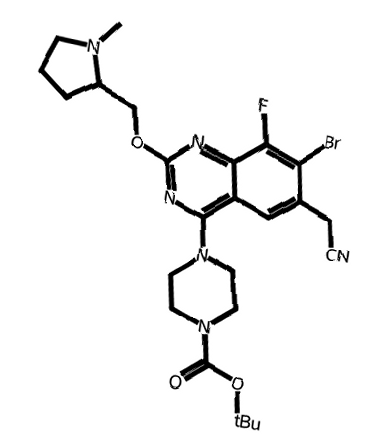 CN1CCCC1COc1nc(N2CCN(C(=O)OC(C)(C)C)CC2)c2cc(CC#N)c(Br)c(F)c2n1